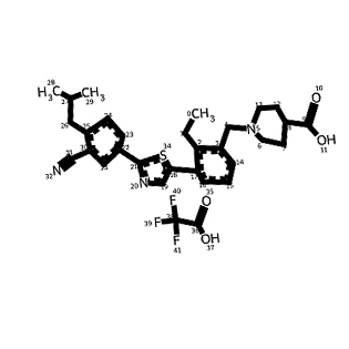 CCc1c(CN2CCC(C(=O)O)CC2)cccc1-c1cnc(-c2ccc(CC(C)C)c(C#N)c2)s1.O=C(O)C(F)(F)F